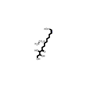 CCCCCCCC/C=C\CCCCCCCC(=O)C(O)C(O)CO.NC(=O)O